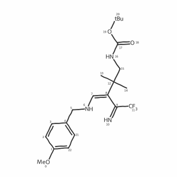 COc1ccc(CN/C=C(\C(=N)C(F)(F)F)C(C)(C)CNC(=O)OC(C)(C)C)cc1